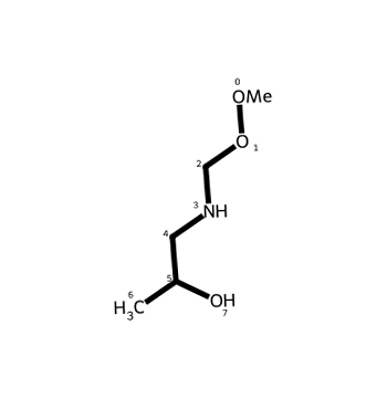 COOCNCC(C)O